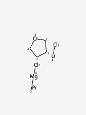 C1CCOC1.C[CH](C)[Mg][Cl].[Li][Cl]